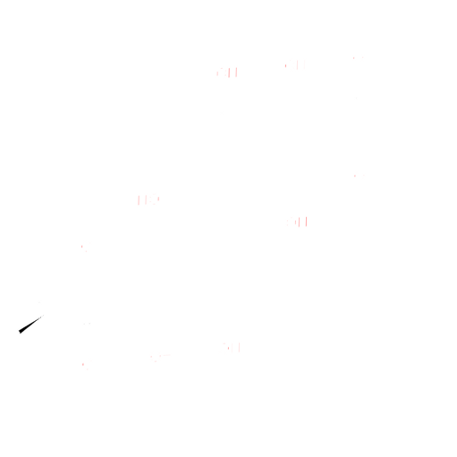 Cc1oc2cc3c(-c4c(O)cc(O)c5c(O)c6c(cc45)O[C@@H](C)[C@H](C)C6=O)c(O)cc(O)c3c(O)c2c(=O)c1C